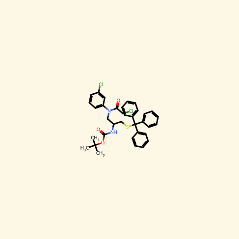 CC(C)(C)OC(=O)NC(CSC(c1ccccc1)(c1ccccc1)c1ccccc1)CN(C(=O)CCl)c1cccc(Cl)c1